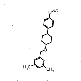 CCOc1ccc(C2CCC(OCc3cc(C)cc(C)c3)CC2)cc1